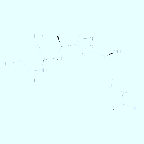 N=C(N)NCCC[C@H](N)c1noc([C@H](CC(=O)O)NC(=O)N[C@@H](CO)C(=O)O)n1